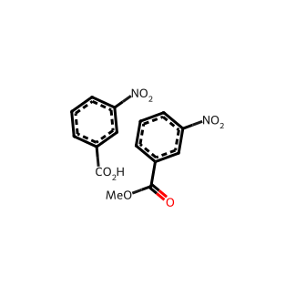 COC(=O)c1cccc([N+](=O)[O-])c1.O=C(O)c1cccc([N+](=O)[O-])c1